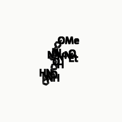 CCC(=O)N1CCC(Nc2nn(Cc3ccc(OC)cc3)c3nccc(Oc4ccc(C(=O)Nc5nc6ccccc6[nH]5)cc4)c23)C1